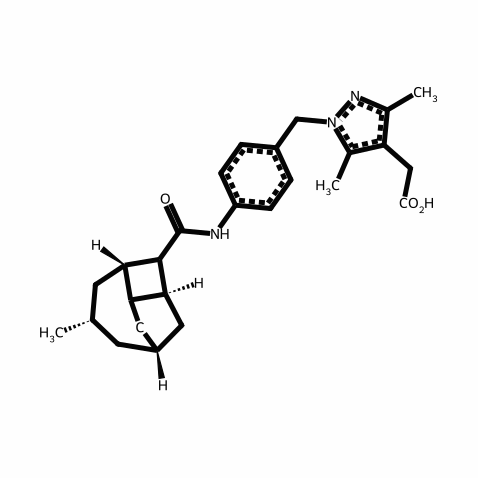 Cc1nn(Cc2ccc(NC(=O)C3[C@H]4C[C@@H](C)C[C@@H]5CC4[C@@H]3C5)cc2)c(C)c1CC(=O)O